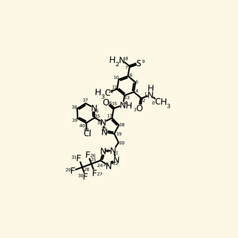 CNC(=O)c1cc(C(N)=S)cc(C)c1NC(=O)c1cc(Cn2nnc(C(F)(F)C(F)(F)F)n2)nn1-c1ncccc1Cl